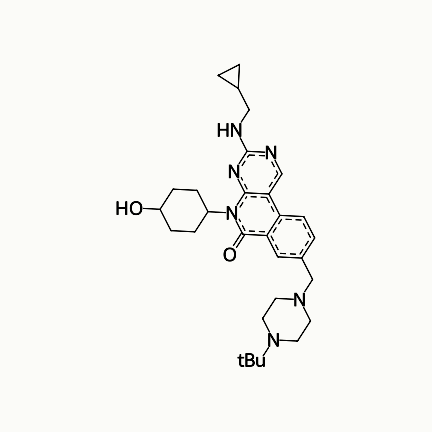 CC(C)(C)N1CCN(Cc2ccc3c(c2)c(=O)n(C2CCC(O)CC2)c2nc(NCC4CC4)ncc32)CC1